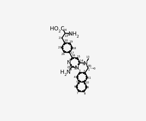 C[C@H](c1ccc2ccccc2c1)N(C)c1cc(-c2ccc(CC(N)C(=O)O)cc2)nc(N)n1